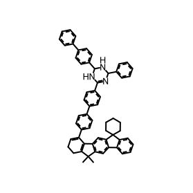 CC1(C)C2=C(C(c3ccc(-c4ccc(C5=NC(c6ccccc6)NC(c6ccc(-c7ccccc7)cc6)N5)cc4)cc3)=CCC2)c2cc3c(cc21)-c1ccccc1C31CCCCC1